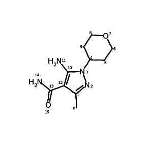 Cc1nn(C2CCOCC2)c(N)c1C(N)=O